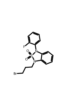 O=S1(=O)N(CCCBr)c2ccccc2N1c1ccccc1F